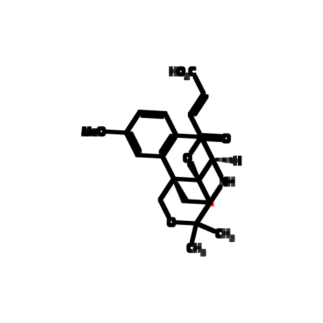 COc1ccc2c(c1)[C@]13CCN[C@H](C2)[C@]1(OC(=O)/C=C/C(=O)O)CC(C)(C)OC3